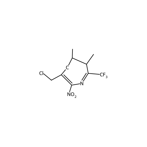 CC1CC(CCl)=C([N+](=O)[O-])N=C(C(F)(F)F)C1C